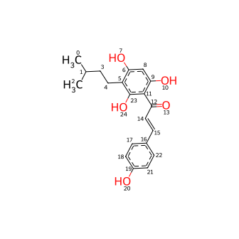 CC(C)CCc1c(O)cc(O)c(C(=O)C=Cc2ccc(O)cc2)c1O